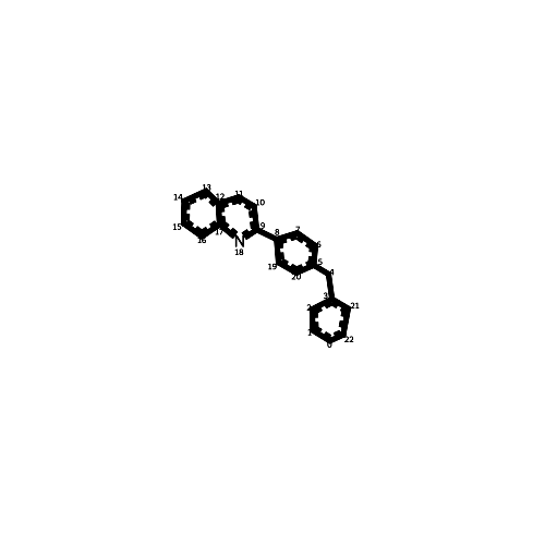 c1ccc(Cc2ccc(-c3ccc4ccccc4n3)cc2)cc1